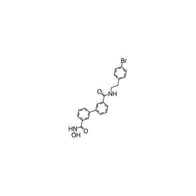 O=C(NO)c1cccc(-c2cccc(C(=O)NCCc3ccc(Br)cc3)c2)c1